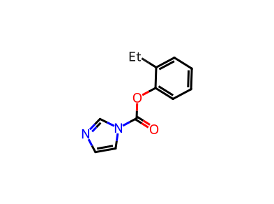 CCc1ccccc1OC(=O)n1ccnc1